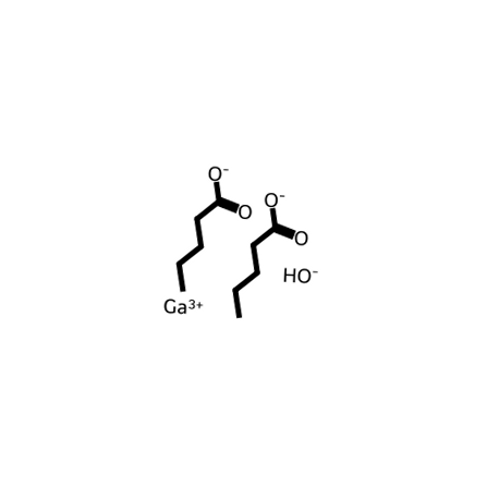 CCCCC(=O)[O-].CCCCC(=O)[O-].[Ga+3].[OH-]